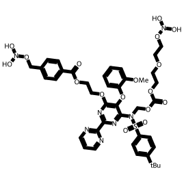 COc1ccccc1Oc1c(OCCOC(=O)c2ccc(CON(O)O)cc2)nc(-c2ncccn2)nc1N(COC(=O)OCCOCCON(O)O)S(=O)(=O)c1ccc(C(C)(C)C)cc1